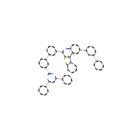 c1ccc(-c2cccc(-c3ccc4nc(-c5cccc(-c6cccc(-c7nc(-c8ccccc8)cc(-c8ccccc8)n7)c6)c5)c5sc6ccccc6c5c4c3)c2)cc1